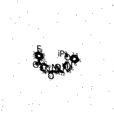 CC(C)Oc1ccccc1N1CCN(CC2CC(C(=O)N3CCC(C(=O)c4ccc(F)cc4)CC3)=NO2)CC1